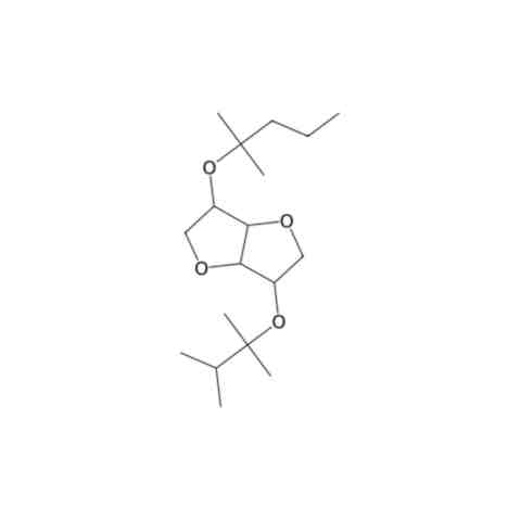 CCCC(C)(C)OC1COC2C(OC(C)(C)C(C)C)COC12